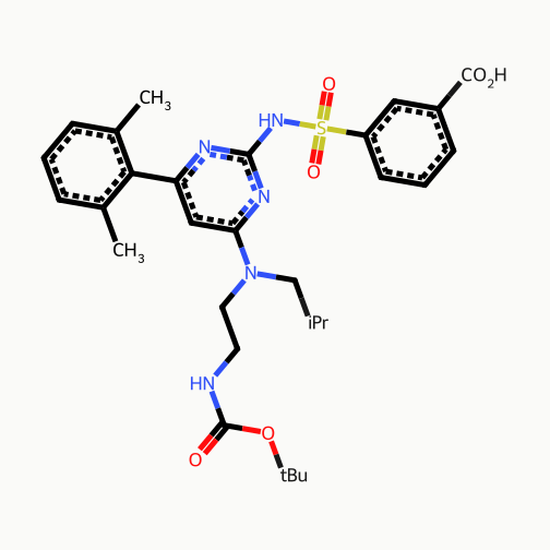 Cc1cccc(C)c1-c1cc(N(CCNC(=O)OC(C)(C)C)CC(C)C)nc(NS(=O)(=O)c2cccc(C(=O)O)c2)n1